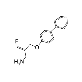 NC/C(=C/F)COc1ccc(-c2ccccc2)cc1